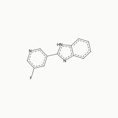 Fc1cncc(-c2nc3ccccc3[nH]2)c1